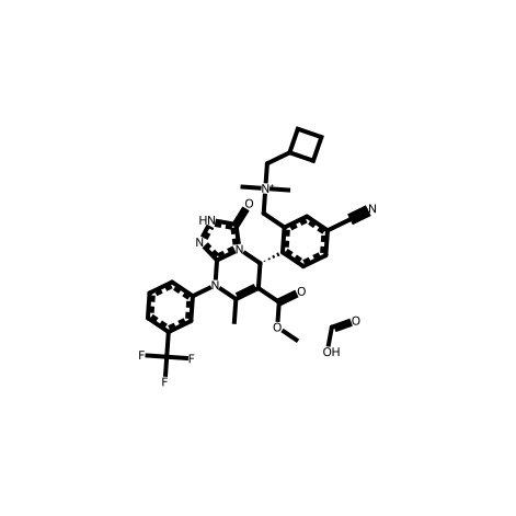 COC(=O)C1=C(C)N(c2cccc(C(F)(F)F)c2)c2n[nH]c(=O)n2[C@@H]1c1ccc(C#N)cc1C[N+](C)(C)CC1CCC1.O=CO